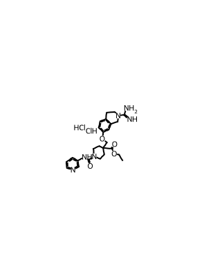 CCOC(=O)C1(COc2ccc3c(c2)CN(C(=N)N)CC3)CCN(C(=O)Nc2cccnc2)CC1.Cl.Cl